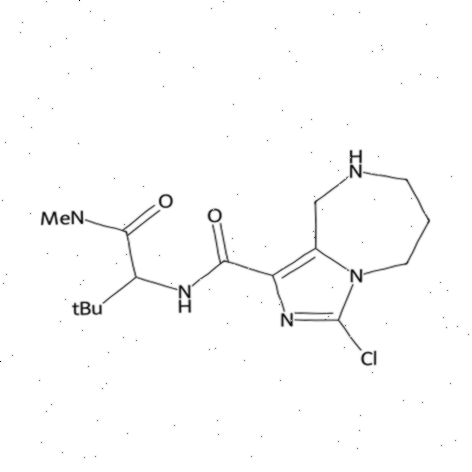 CNC(=O)C(NC(=O)c1nc(Cl)n2c1CNCCC2)C(C)(C)C